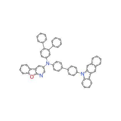 c1ccc(-c2ccc(N(c3ccc(-c4ccc(-n5c6ccccc6c6cc7ccccc7cc65)cc4)cc3)c3cnc4oc5ccccc5c4c3)cc2-c2ccccc2)cc1